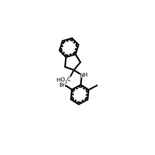 Cc1cccc(Br)c1NC1(C(=O)O)Cc2ccccc2C1